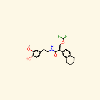 COc1cc(CCNC(=O)/C(=C/OC(F)F)c2ccc3c(c2)CCCC3)ccc1O